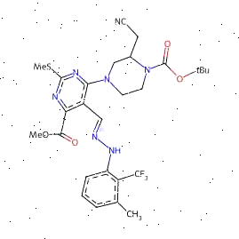 COC(=O)c1nc(SC)nc(N2CCN(C(=O)OC(C)(C)C)C(CC#N)C2)c1/C=N/Nc1cccc(C)c1C(F)(F)F